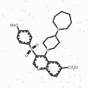 CCOC(=O)c1ccc2ncc(S(=O)(=O)c3ccc(OC)cc3)c(N3CCC(N4CCCCCC4)CC3)c2c1